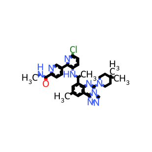 CNC(=O)c1ccc(-c2nc(Cl)ccc2NC(C)c2cc(C)cc3c2nc(N2CCC(C)(C)CC2)n2cnnc32)cn1